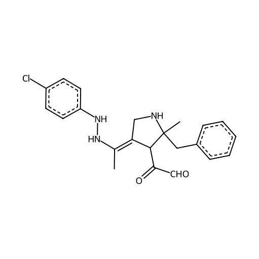 CC(NNc1ccc(Cl)cc1)=C1CNC(C)(Cc2ccccc2)C1C(=O)C=O